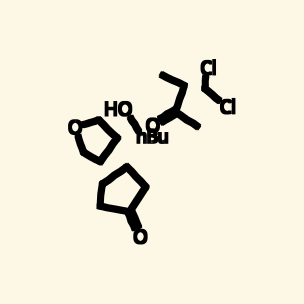 C1CCOC1.CCC(C)=O.CCCCO.ClCCl.O=C1CCCC1